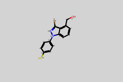 OCc1cccc2c1c(Br)nn2-c1ccc(S)cc1